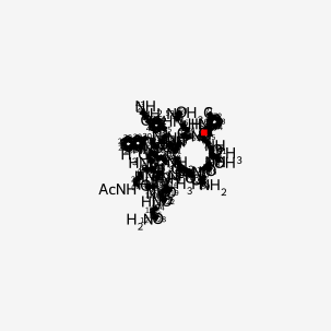 CC(=O)NCCCC[C@H](NC(=O)[C@](C)(CCCCN)NC(=O)[C@H](Cc1ccc2ccccc2c1)NC(=O)[C@H](Cc1ccc(OCCN)cc1)NC(=O)[C@H]1NC(=O)[C@H](CCCNC(N)=O)NC(=O)[C@H](Cc2c[nH]c3c(C)cccc23)NC(=O)[C@H]([C@@H](C)O)NC(=O)[C@H](CC(N)=O)NC(=O)[C@@H](NC(C)=O)C(C)(C)SSC1(C)C)C(=O)N[C@@H](CC(N)=O)C(=O)NC(C)(C)C(=O)CC(=O)NCCC(N)=O